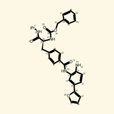 CC(C)NC(=O)[C@H](Cc1ccc(C(=O)Nc2cc(-c3ccco3)ccc2N)cc1)NC(=O)OCc1ccccc1